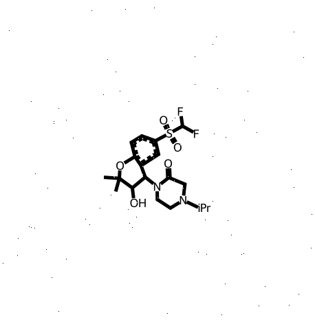 CC(C)N1CCN(C2c3cc(S(=O)(=O)C(F)F)ccc3OC(C)(C)C2O)C(=O)C1